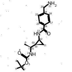 C[C@H](NC(=O)OC(C)(C)C)[C@@H]1CC1NC(=O)c1ccc(CN)cc1